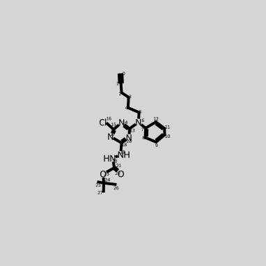 C#CCCCCN(c1ccccc1)c1nc(Cl)nc(NNC(=O)OC(C)(C)C)n1